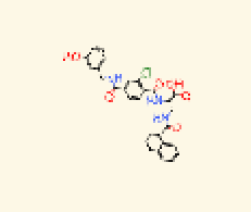 O=C(NCc1cccc(O)c1)c1ccc(C(=O)N[C@@H](CNC(=O)c2cccc3ccccc23)C(=O)O)c(Cl)c1